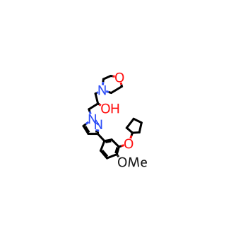 COc1ccc(-c2ccn(CC(O)CN3CCOCC3)n2)cc1OC1CCCC1